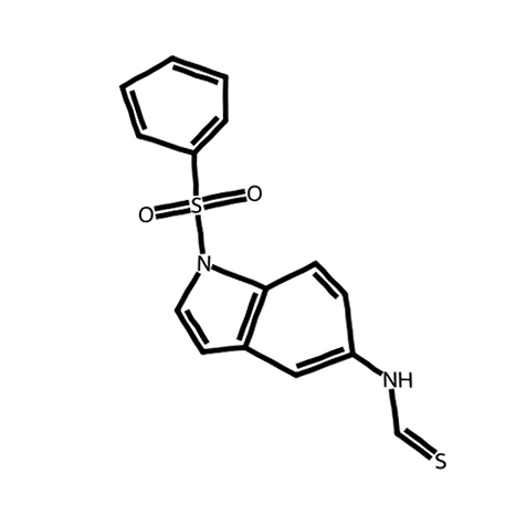 O=S(=O)(c1ccccc1)n1ccc2cc(NC=S)ccc21